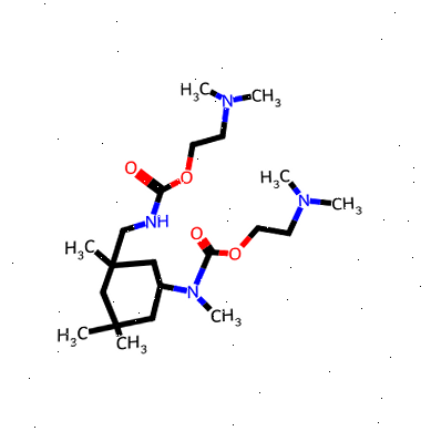 CN(C)CCOC(=O)NCC1(C)CC(N(C)C(=O)OCCN(C)C)CC(C)(C)C1